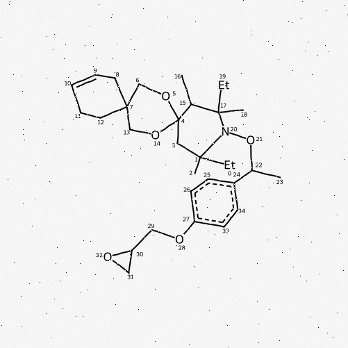 CCC1(C)CC2(OCC3(CC=CCC3)CO2)C(C)C(C)(CC)N1OC(C)c1ccc(OCC2CO2)cc1